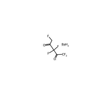 O=C(CF)C(F)(F)C(=O)C(F)(F)F.[BaH2]